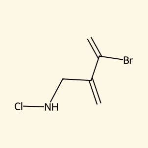 C=C(Br)C(=C)CNCl